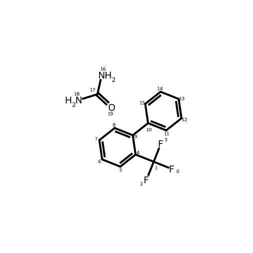 FC(F)(F)c1ccccc1-c1ccccc1.NC(N)=O